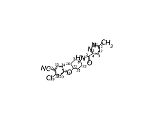 Cc1ccc(C(=O)N[C@H]2CC[C@H](Oc3ccc(C#N)c(Cl)c3)CC2)nn1